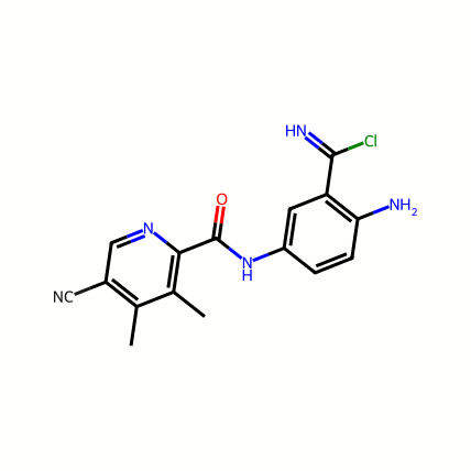 Cc1c(C#N)cnc(C(=O)Nc2ccc(N)c(C(=N)Cl)c2)c1C